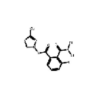 CCN(CC)C(=O)c1c(I)cccc1C(=O)NN1CSC(C(C)(C)C)=N1